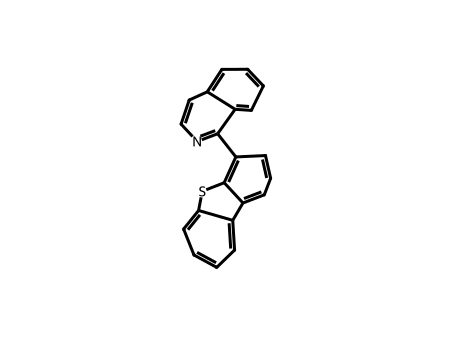 c1ccc2c(-c3cccc4c3sc3ccccc34)nccc2c1